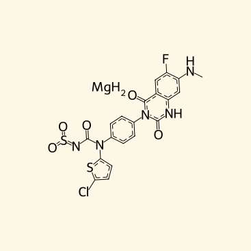 CNc1cc2[nH]c(=O)n(-c3ccc(N(C(=O)N=S(=O)=O)c4ccc(Cl)s4)cc3)c(=O)c2cc1F.[MgH2]